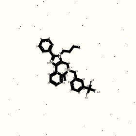 CCCCn1c(-c2ccccc2)nc(-c2ccccc2)c1CN(CC)Cc1cccc(C(F)(F)F)c1